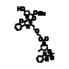 C[C@H]1CN(C(=O)OCCOCCc2nc(N3C[C@@H](O)C[C@H]3C(=O)OC(C)(C)C)c3oc4ccccc4c3n2)CC[C@@H]1n1c(S(C)(=O)=O)nc2ccccc21